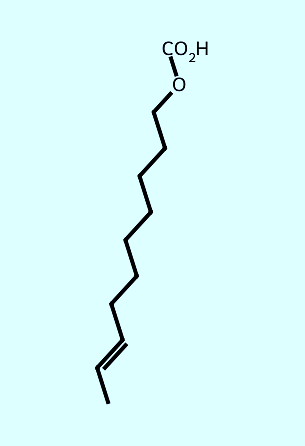 CC=CCCCCCCCOC(=O)O